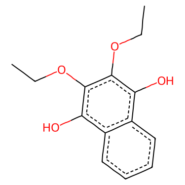 CCOc1c(OCC)c(O)c2ccccc2c1O